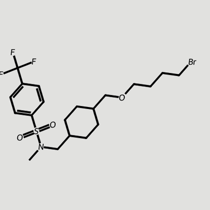 CN(CC1CCC(COCCCCBr)CC1)S(=O)(=O)c1ccc(C(F)(F)F)cc1